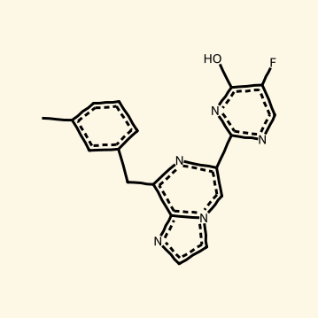 Cc1cccc(Cc2nc(-c3ncc(F)c(O)n3)cn3ccnc23)c1